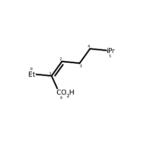 CC/C(=C/CCC(C)C)C(=O)O